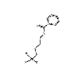 O=C(SCCCCC(F)(F)F)c1ccccc1